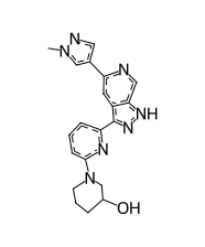 Cn1cc(-c2cc3c(-c4cccc(N5CCCC(O)C5)n4)n[nH]c3cn2)cn1